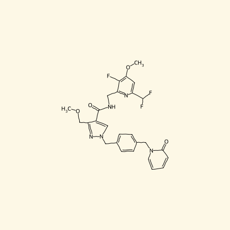 COCc1nn(Cc2ccc(Cn3ccccc3=O)cc2)cc1C(=O)NCc1nc(C(F)F)cc(OC)c1F